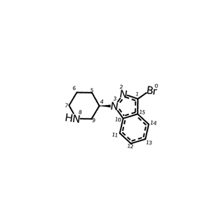 Brc1nn([C@@H]2CCCNC2)c2ccccc12